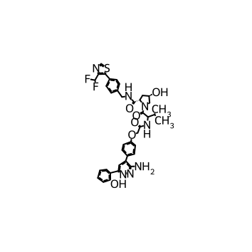 CC(C)C(NC(=O)COc1ccc(-c2cc(-c3ccccc3O)nnc2N)cc1)C(=O)N1C[C@H](O)C[C@H]1C(=O)NCc1ccc(-c2scnc2C(F)F)cc1